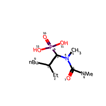 CCCCC(CC)C(N(C)C(=O)NC)P(=O)(O)O